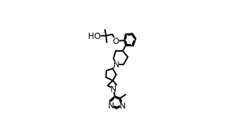 Cc1ncncc1N1CC2(CC[C@@H](N3CCC(c4ccccc4OCC(C)(C)O)CC3)C2)C1